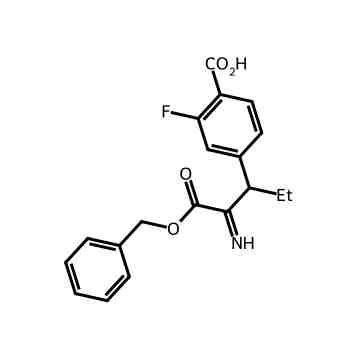 CCC(C(=N)C(=O)OCc1ccccc1)c1ccc(C(=O)O)c(F)c1